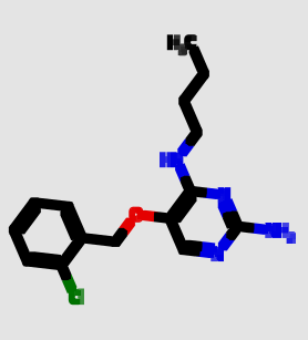 CCCCNc1nc(N)ncc1OCc1ccccc1Cl